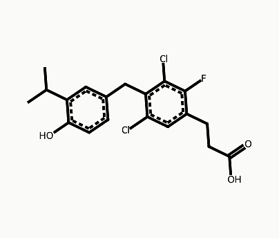 CC(C)c1cc(Cc2c(Cl)cc(CCC(=O)O)c(F)c2Cl)ccc1O